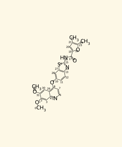 COc1cc2nccc(Oc3ccc4nc(NC(=O)c5cc(C)c(C)o5)sc4c3)c2cc1OC